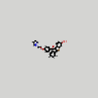 OC1=CC2SC3=C(C2C=C1)C(O)(c1ccc(OCCN2CCCC2)cc1)c1ccccc13